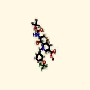 COC(=O)C1=CN(Cc2cccc(OC(F)(F)F)c2)C2C(=O)[C@@H](NC(=O)OC(C)(C)C)CSC2=C1